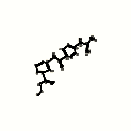 CCOC(=O)c1cccc(OC(=O)c2ccc(NC(=N)N)cc2)c1